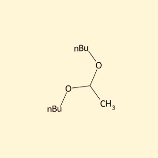 [CH2]CCCOC(C)OCCCC